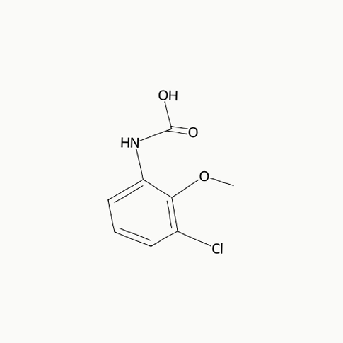 COc1c(Cl)cccc1NC(=O)O